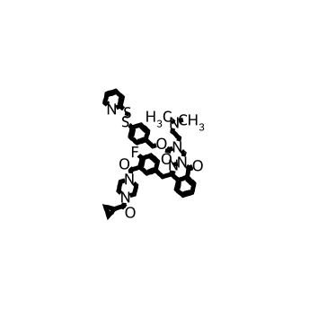 CN(C)CCN(Cn1nc(Cc2ccc(F)c(C(=O)N3CCN(C(=O)C4CC4)CC3)c2)c2ccccc2c1=O)C(=O)OCc1ccc(SSc2ccccn2)cc1